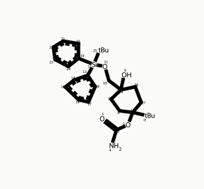 CC(C)(C)C1(OC(N)=O)CCC(O)(CO[Si](c2ccccc2)(c2ccccc2)C(C)(C)C)CC1